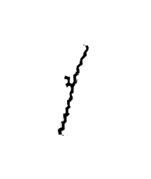 [CH2]CC=CCCCCCCC(CCCCCCCCCCCC[CH2])C(C)CC